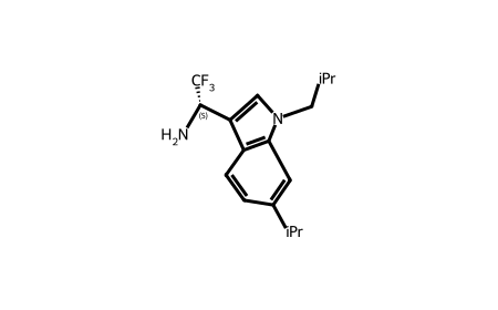 CC(C)Cn1cc([C@H](N)C(F)(F)F)c2ccc(C(C)C)cc21